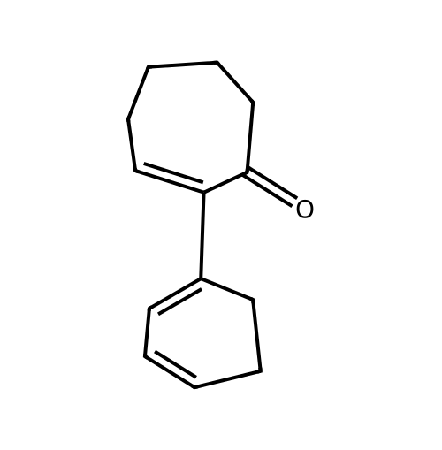 O=C1CCCCC=C1C1=CC=CCC1